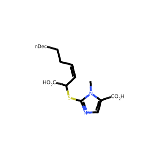 CCCCCCCCCCCC/C=C\C(Sc1ncc(C(=O)O)n1C)C(=O)O